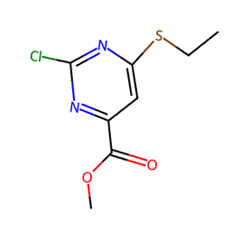 CCSc1cc(C(=O)OC)nc(Cl)n1